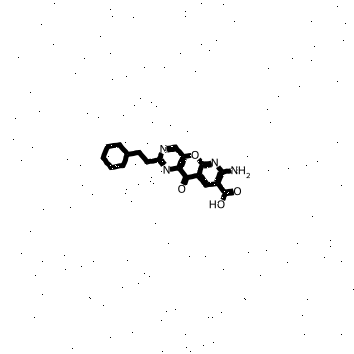 Nc1nc2oc3cnc(CCC4CCCCC4)nc3c(=O)c2cc1C(=O)O